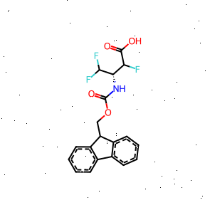 O=C(N[C@H](C(F)F)C(F)C(=O)O)OCC1c2ccccc2-c2ccccc21